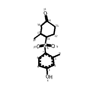 Cc1cc(O)ccc1S(=O)(=O)C1CCC(=O)CC1C